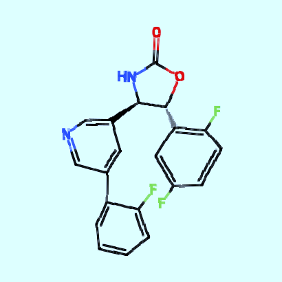 O=C1N[C@H](c2cncc(-c3ccccc3F)c2)[C@@H](c2cc(F)ccc2F)O1